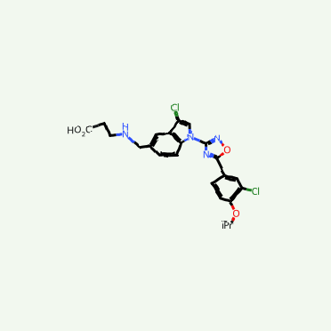 CC(C)Oc1ccc(-c2nc(-n3cc(Cl)c4cc(CNCCC(=O)O)ccc43)no2)cc1Cl